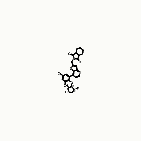 Cc1cc(Cl)cc(-c2ccnc3cc(CN4C(=O)C5CCCCC5C4=O)sc23)c1O[C@@H]1CNC[C@@H]1F